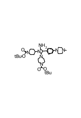 CN1CCN(c2ccc(C3C(N)N(C4CCN(C(=O)OC(C)(C)C)CC4)C3N3CCN(C(=O)OC(C)(C)C)CC3)cc2)CC1